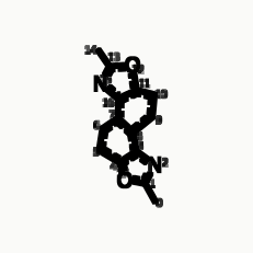 Cc1nc2c(ccc3c2ccc2oc(C)nc23)o1